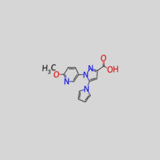 COc1ccc(-n2nc(C(=O)O)cc2-n2cccc2)cn1